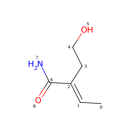 C/C=C(\CCO)C(N)=O